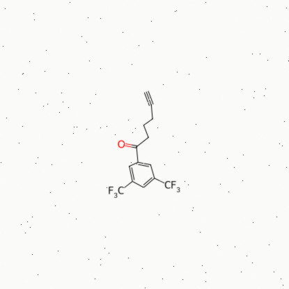 C#CCCCC(=O)c1cc(C(F)(F)F)cc(C(F)(F)F)c1